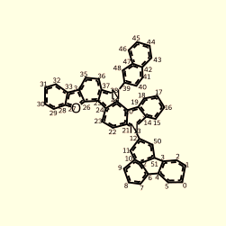 c1ccc2c(c1)-c1cccc3cc(-n4c5ccccc5c5c4ccc4c6c7oc8ccccc8c7ccc6n(-c6ccc7ccccc7c6)c45)cc-2c13